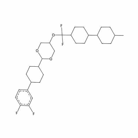 CC1CCC(C2CCC(C(F)(F)OC3COC(C4CCC(c5ccc(F)c(F)c5)CC4)OC3)CC2)CC1